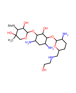 CNC1C(O)C(OC2C(N)CC(N)C(OC3OC(CNCCO)CCC3N)C2O)OCC1(C)O